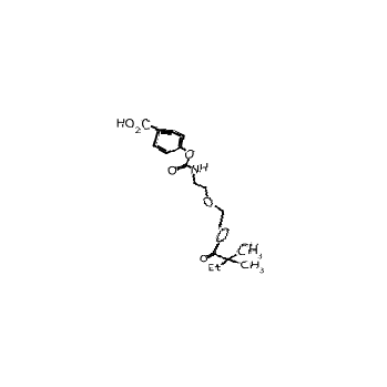 CCC(C)(C)C(=O)OCCOCCNC(=O)Oc1ccc(C(=O)O)cc1